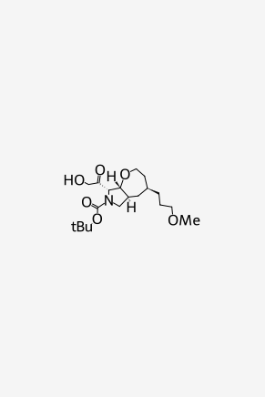 COCCC[C@@H]1CCO[C@@H]2[C@@H](C1)CN(C(=O)OC(C)(C)C)[C@@H]2C(=O)CO